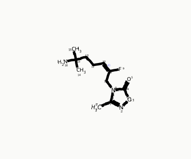 Cc1noc(=O)n1C/C(F)=C\CCC(C)(C)N